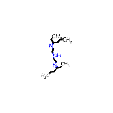 C=CCC(CC)=NCCNCCN=C(CC)CC=C